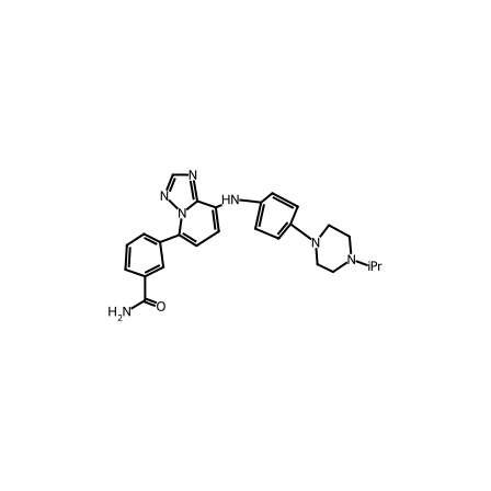 CC(C)N1CCN(c2ccc(Nc3ccc(-c4cccc(C(N)=O)c4)n4ncnc34)cc2)CC1